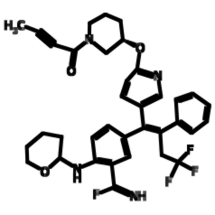 CC#CC(=O)N1CCC[C@@H](Oc2ccc(/C(=C(/CC(F)(F)F)c3ccccc3)c3ccc(NC4CCCCO4)c(C(=N)F)c3)cn2)C1